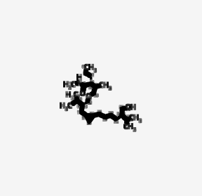 CCC[C@@H](C(=O)NC)C(C)COC[C@H](CC1CC1CCCC[C@@H](CO)C(C)C)C(C)C